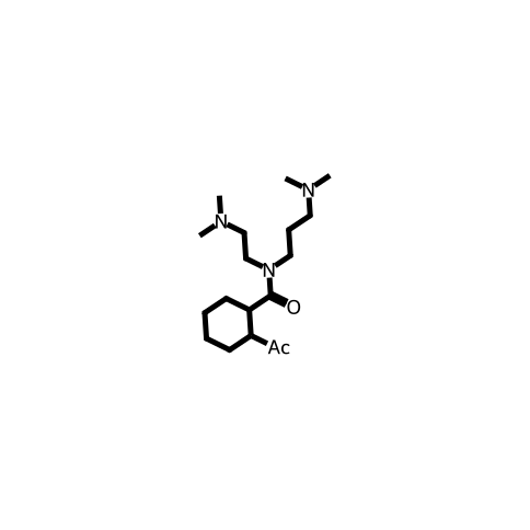 CC(=O)C1CCCCC1C(=O)N(CCCN(C)C)CCN(C)C